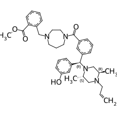 C=CCN1C[C@H](C)N([C@@H](c2cccc(O)c2)c2cccc(C(=O)N3CCCN(Cc4ccccc4C(=O)OC)CC3)c2)C[C@H]1C